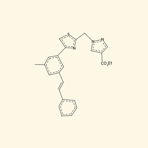 CCOC(=O)c1cnn(Cc2nc(-c3cc(C)cc(C=Cc4ccccc4)c3)cs2)c1